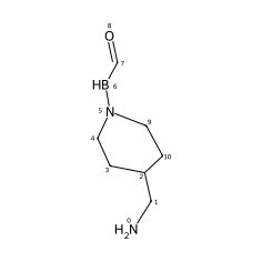 NCC1CCN(BC=O)CC1